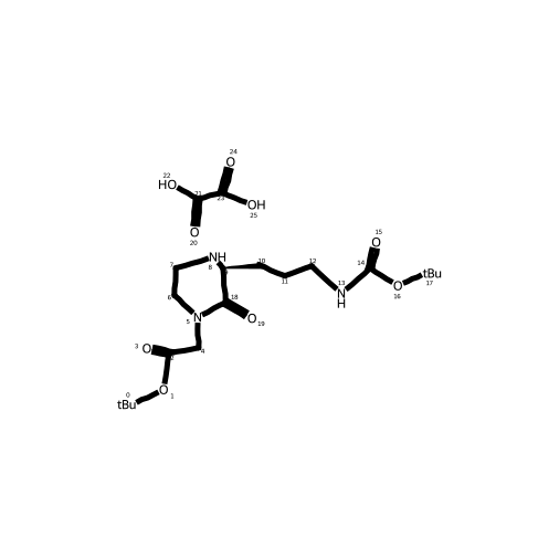 CC(C)(C)OC(=O)CN1CCN[C@@H](CCCNC(=O)OC(C)(C)C)C1=O.O=C(O)C(=O)O